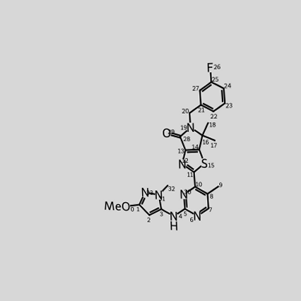 COc1cc(Nc2ncc(C)c(-c3nc4c(s3)C(C)(C)N(Cc3cccc(F)c3)C4=O)n2)n(C)n1